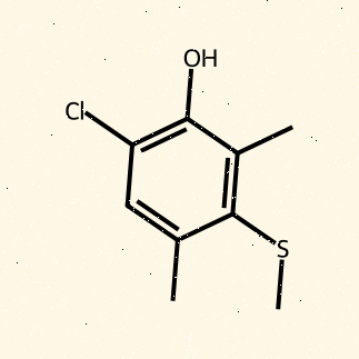 CSc1c(C)cc(Cl)c(O)c1C